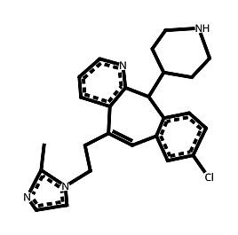 Cc1nccn1CCC1=Cc2cc(Cl)ccc2C(C2CCNCC2)c2ncccc21